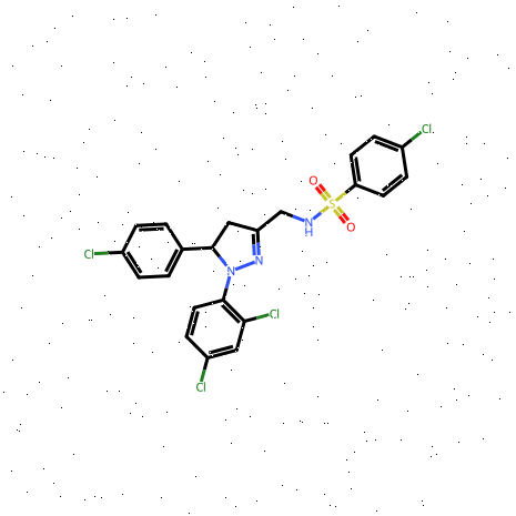 O=S(=O)(NCC1=NN(c2ccc(Cl)cc2Cl)C(c2ccc(Cl)cc2)C1)c1ccc(Cl)cc1